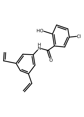 C=Cc1cc(C=C)cc(NC(=O)c2cc(Cl)ccc2O)c1